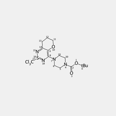 CC(C)(C)OC(=O)N1CCN(C2=C3OCCCC3=NS(C(Cl)(Cl)Cl)=N2)CC1